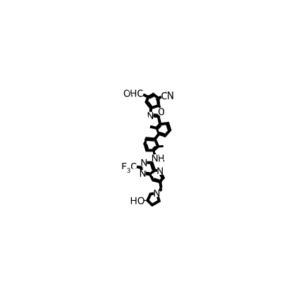 Cc1c(Nc2nc(C(F)(F)F)nc3cc(CN4CC[C@H](O)C4)cnc23)cccc1-c1cccc(-c2nc3cc(C=O)cc(C#N)c3o2)c1C